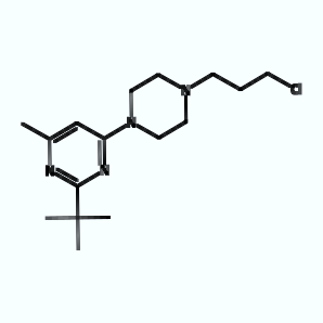 Cc1cc(N2CCN(CCCCl)CC2)nc(C(C)(C)C)n1